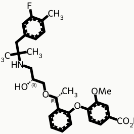 COc1cc(C(=O)O)ccc1Oc1ccccc1[C@@H](C)OC[C@H](O)CNC(C)(C)Cc1ccc(C)c(F)c1